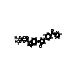 CC(C)(C)OC(=O)n1ccc2cc(N3CC(N4CCN(C(=O)c5nccs5)CC4)CC3=O)ccc21